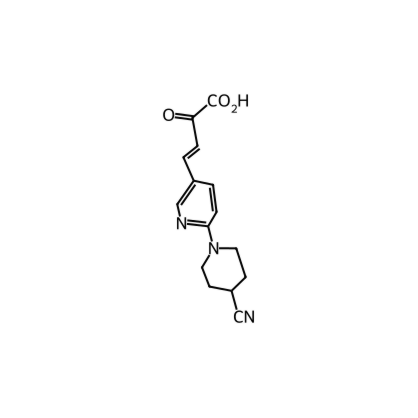 N#CC1CCN(c2ccc(C=CC(=O)C(=O)O)cn2)CC1